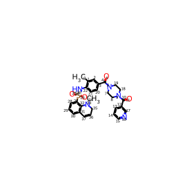 Cc1cc(C(=O)N2CCN(C(=O)c3cccnc3)CC2)ccc1NS(=O)(=O)c1cccc2c1N(C)CC=C2